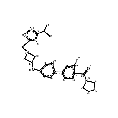 CC(C)c1noc(CN2CC(Oc3ccc(-c4ccc(C(=O)N5CCCC5)c(F)c4)nc3)C2)n1